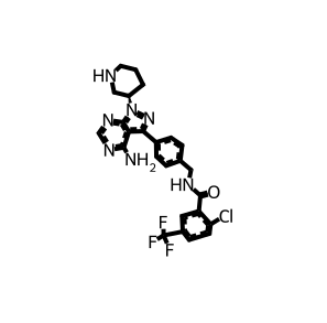 Nc1ncnc2c1c(-c1ccc(CNC(=O)c3cc(C(F)(F)F)ccc3Cl)cc1)nn2[C@@H]1CCCNC1